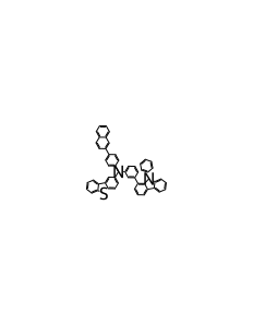 c1ccc(-n2c3ccccc3c3cccc(-c4cccc(N(c5ccc(-c6ccc7ccccc7c6)cc5)c5ccc6sc7ccccc7c6c5)c4)c32)cc1